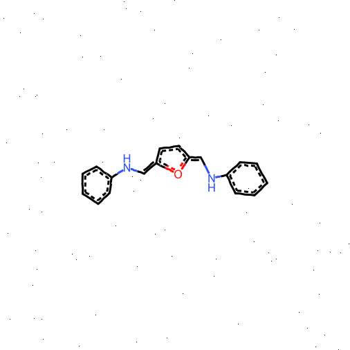 C(Nc1ccccc1)=c1ccc(=CNc2ccccc2)o1